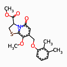 COC(=O)C1CSc2c(OC)c(COc3cccc(C)c3C)cc(=O)n21